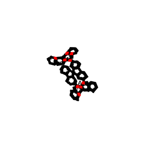 c1ccc([As](c2ccccc2)c2ccc3c(c2)C2(c4cc([As](c5ccccc5)c5ccccc5)ccc4-3)c3cc([As](c4ccccc4)c4ccccc4)ccc3-c3ccc([As](c4ccccc4)c4ccccc4)cc32)cc1